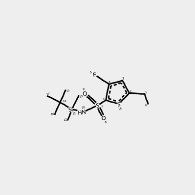 CCc1cc(F)c(S(=O)(=O)N[Si](C)(C)C(C)(C)C)s1